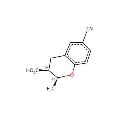 N#Cc1ccc2c(c1)C[C@H](C(=O)O)[C@H](C(F)(F)F)O2